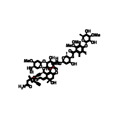 C#C/C=C\C#C[C@H](O[C@@H]1O[C@H](C)[C@@H](NO[C@H]2C[C@H](O)[C@H](SC(=O)c3c(C)c(I)c(O[C@@H]4O[C@@H](C)[C@H](O)[C@@H](OC)[C@H]4O)c(OC)c3OC)[C@@H](C)O2)[C@H](O)[C@H]1O[C@H]1C[C@H](OC)[C@@H](NCC)CO1)C1=C(NC(=O)OC)C(=O)C[C@](C)(O)/C1=C/CSSC(C)(C)CC(N)=O